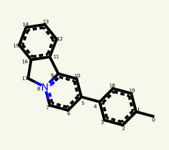 Cc1ccc(-c2cc[n+]3c(c2)-c2ccccc2C3)cc1